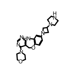 c1nc2c(c(N3CCOCC3)n1)COc1ccc(N3CC(N4CCNCC4)C3)cc1N2